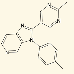 Cc1ccc(-n2c(-c3cnc(C)nc3)nc3ccncc32)cc1